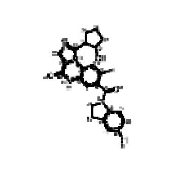 Cc1cc2c(cc1C(=O)N1CCc3cc(Cl)ccc31)[nH]c(=O)c1cnc(C3CCCC3O)n12